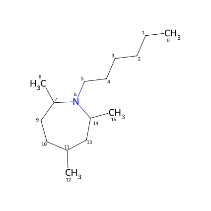 CCCCCCN1C(C)CCC(C)CC1C